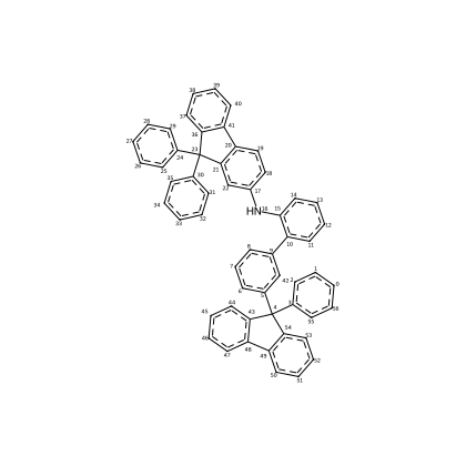 c1ccc(C2(c3cccc(-c4ccccc4Nc4ccc5c(c4)C(c4ccccc4)(c4ccccc4)c4ccccc4-5)c3)c3ccccc3-c3ccccc32)cc1